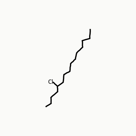 CCCCCCCCCCC(Cl)CCCC